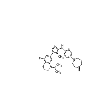 CC(C)N1CCOc2c(F)cc(-c3cnc(Nc4ccc(N5CCCNCC5)cn4)n3C)cc21